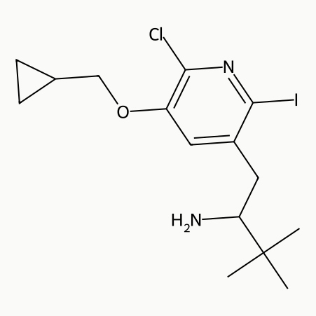 CC(C)(C)C(N)Cc1cc(OCC2CC2)c(Cl)nc1I